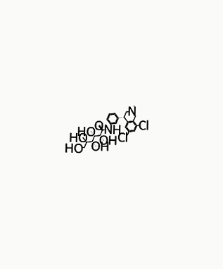 CN1Cc2c(Cl)cc(Cl)cc2[C@H](c2cccc(NC(=O)[C@H](O)[C@@H](O)[C@H](O)[C@H](O)CO)c2)C1